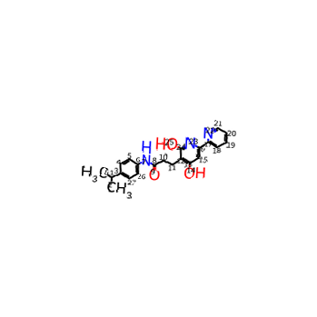 CC(C)c1ccc(NC(=O)CCc2c(O)cc(-c3ccccn3)nc2O)cc1